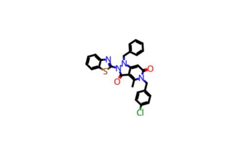 Cc1c2c(=O)n(-c3nc4ccccc4s3)n(Cc3ccccc3)c2cc(=O)n1Cc1ccc(Cl)cc1